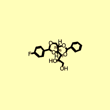 OC[C@@H](O)[C@H]1OC(c2ccccc2)O[C@H]2COC(c3ccc(F)cc3)O[C@@H]12